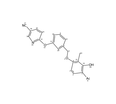 CC(=O)c1ccc(OCc2cccc(Oc3ccc(C#N)cn3)c2)c(C)c1O